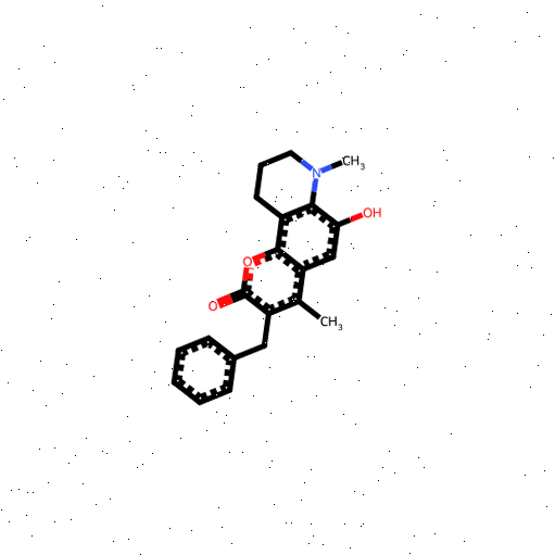 Cc1c(Cc2ccccc2)c(=O)oc2c3c(c(O)cc12)N(C)CCC3